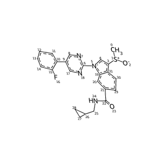 C[S+]([O-])c1cn(-c2ncc(-c3ccccc3F)cn2)c2cc(C(=O)NCC3CC3)ccc12